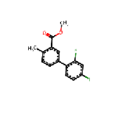 COC(=O)c1cc(-c2ccc(F)cc2F)ccc1C